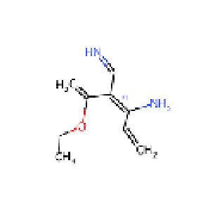 C=C/C(N)=C(/C=N)C(=C)OCC